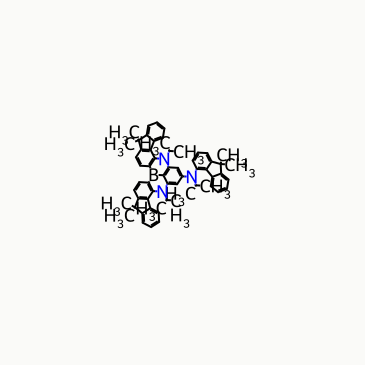 CC(C)N(c1cc2c3c(c1)N(C(C)C)c1c(ccc4c1-c1ccccc1C4(C)C)B3c1ccc3c(c1N2C(C)C)-c1ccccc1C3(C)C)c1cccc2c1-c1ccccc1C2(C)C